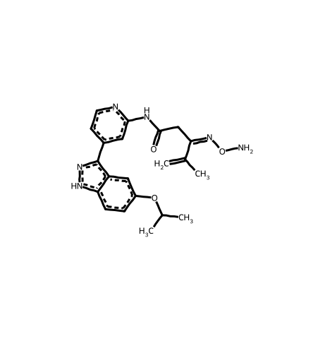 C=C(C)/C(CC(=O)Nc1cc(-c2n[nH]c3ccc(OC(C)C)cc23)ccn1)=N\ON